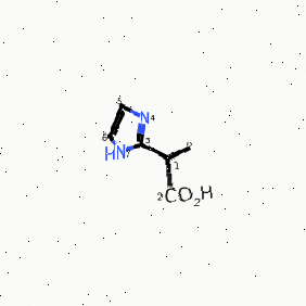 CC(C(=O)O)c1ncc[nH]1